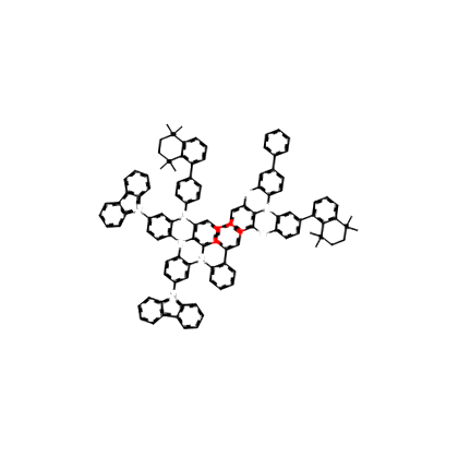 CC1(C)CCC(C)(C)c2c(-c3ccc(N4c5cc(-n6c7ccccc7c7ccccc76)ccc5B5c6ccc(-n7c8ccccc8c8ccccc87)cc6N(c6ccccc6-c6ccccc6)c6cc(-c7cc8c9c(c7)Oc7ccc(-c%10cccc%11c%10C(C)(C)CCC%11(C)C)cc7B9c7ccc(-c9ccccc9)cc7O8)cc4c65)cc3)cccc21